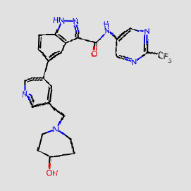 O=C(Nc1cnc(C(F)(F)F)nc1)c1n[nH]c2ccc(-c3cncc(CN4CCC(O)CC4)c3)cc12